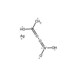 CC(=O)O.O=[N+]([O-])O.[Ag]